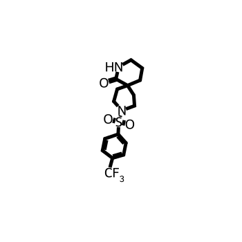 O=C1NCCCC12CCN(S(=O)(=O)c1ccc(C(F)(F)F)cc1)CC2